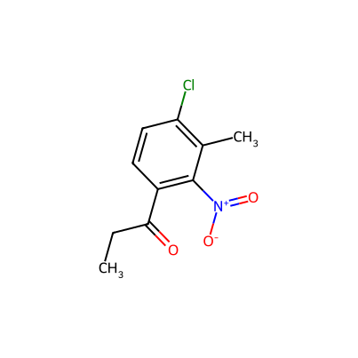 CCC(=O)c1ccc(Cl)c(C)c1[N+](=O)[O-]